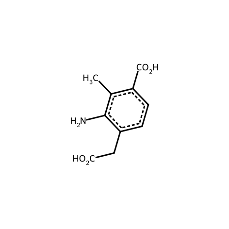 Cc1c(C(=O)O)ccc(CC(=O)O)c1N